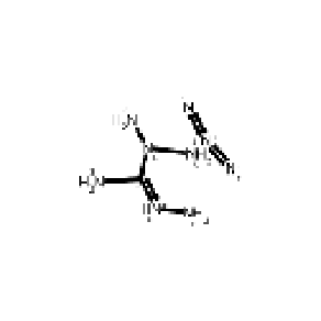 N[NH+]=C(N)N(N)N.[N-]=[N+]=[N-]